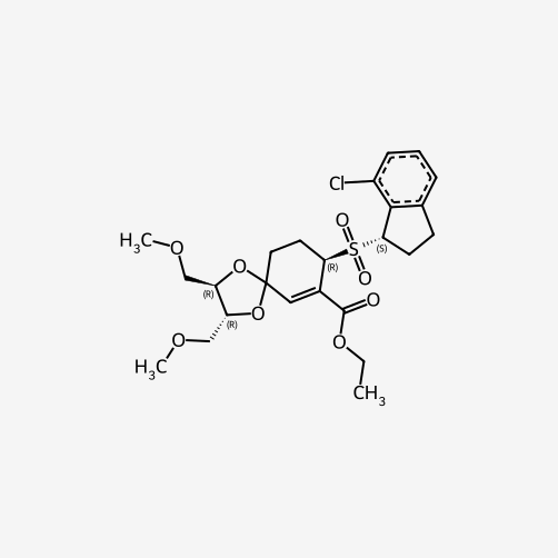 CCOC(=O)C1=CC2(CC[C@H]1S(=O)(=O)[C@H]1CCc3cccc(Cl)c31)O[C@H](COC)[C@@H](COC)O2